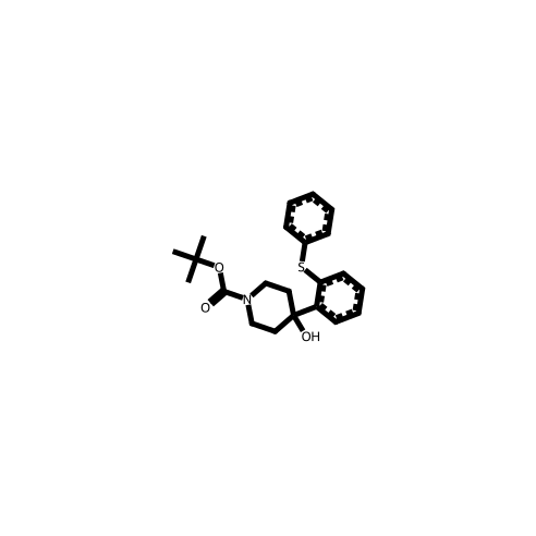 CC(C)(C)OC(=O)N1CCC(O)(c2ccccc2Sc2ccccc2)CC1